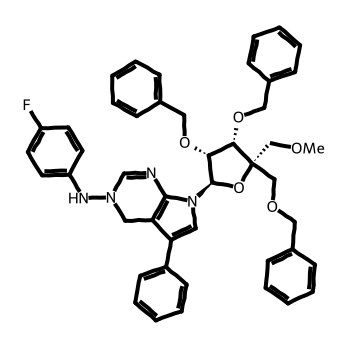 COC[C@]1(COCc2ccccc2)O[C@@H](n2cc(-c3ccccc3)c3c2N=CN(Nc2ccc(F)cc2)C3)[C@H](OCc2ccccc2)[C@@H]1OCc1ccccc1